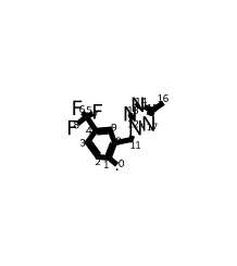 [CH2]c1ccc(C(F)(F)F)cc1Cn1nnc(C)n1